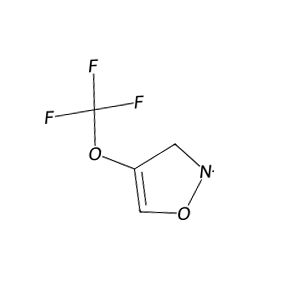 FC(F)(F)OC1=CO[N]C1